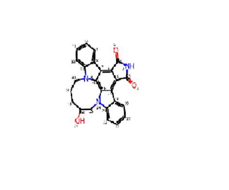 O=C1NC(=O)c2c1c1c3ccccc3n3c1c1c2c2ccccc2n1CC(O)CCC3